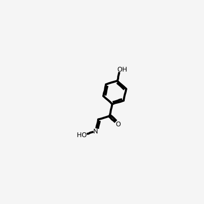 O=C(C=NO)c1ccc(O)cc1